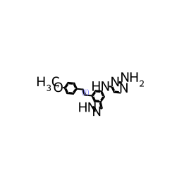 COc1ccc(/C=C/c2cc(Nc3ccnc(N)n3)cc3cn[nH]c23)cc1